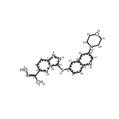 C/C(=N/O)c1ccc2nnc(Sc3ccc4ncc(N5CCOCC5)cc4c3)n2n1